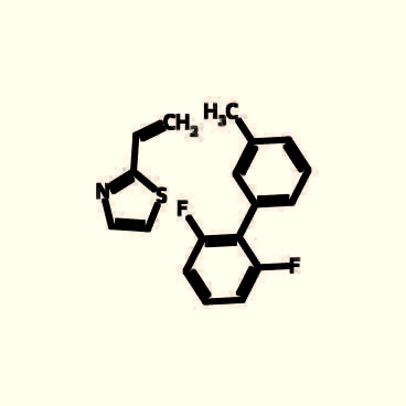 C=Cc1nccs1.Cc1cccc(-c2c(F)cccc2F)c1